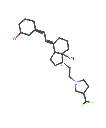 CC12CCC/C(=C\C=C3\CCCC(O)C3)C1CC[C@@H]2CCN1CCC(C(F)F)C1